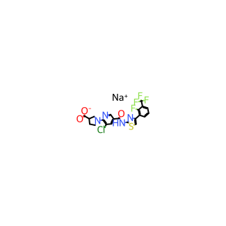 O=C(Nc1nc(-c2cccc(C(F)(F)F)c2F)cs1)c1cnc(N2CCC(C(=O)[O-])C2)c(Cl)c1.[Na+]